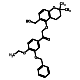 CCOc1ccc(C(=O)COc2c(CO)ccc3c2CCC(C)(C)O3)cc1OCc1ccccc1